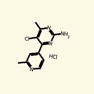 Cc1cc(-c2nc(N)nc(C)c2Cl)ccn1.Cl